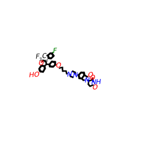 O=C1CCC(N2Cc3cc(N4CCN(CCCCCOc5ccc(C6c7ccc(O)cc7OC[C@@H]6c6ccc(F)cc6C(F)(F)F)cc5)CC4)ccc3C2=O)C(=O)N1